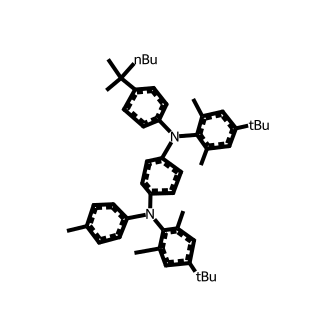 CCCCC(C)(C)c1ccc(N(c2ccc(N(c3ccc(C)cc3)c3c(C)cc(C(C)(C)C)cc3C)cc2)c2c(C)cc(C(C)(C)C)cc2C)cc1